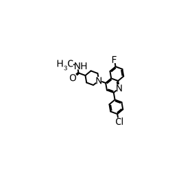 CNC(=O)C1CCN(c2cc(-c3ccc(Cl)cc3)nc3ccc(F)cc23)CC1